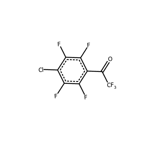 O=C(c1c(F)c(F)c(Cl)c(F)c1F)C(F)(F)F